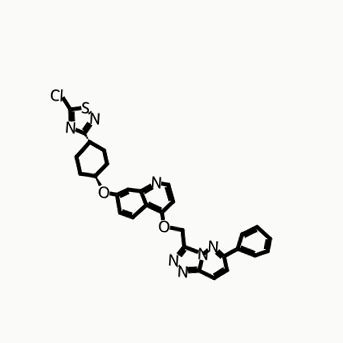 Clc1nc([C@H]2CC[C@H](Oc3ccc4c(OCc5nnc6ccc(-c7ccccc7)nn56)ccnc4c3)CC2)ns1